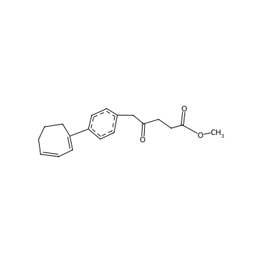 COC(=O)CCC(=O)Cc1ccc(C2=CC=CCCC2)cc1